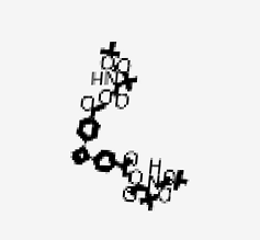 CC(C)(C)OC(=O)N[C@H](C(=O)OCC(=O)c1ccc([C@H]2C#C[C@@H]2c2ccc(C(=O)COC(=O)[C@@H](NC(=O)OC(C)(C)C)C(C)(C)C)cc2)cc1)C(C)(C)C